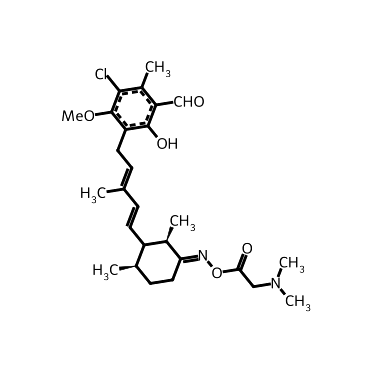 COc1c(Cl)c(C)c(C=O)c(O)c1C/C=C(C)/C=C/C1[C@H](C)CC/C(=N\OC(=O)CN(C)C)[C@@H]1C